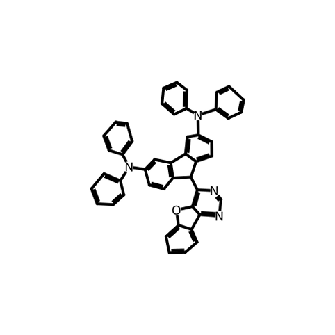 c1ccc(N(c2ccccc2)c2ccc3c(c2)-c2cc(N(c4ccccc4)c4ccccc4)ccc2C3c2ncnc3c2oc2ccccc23)cc1